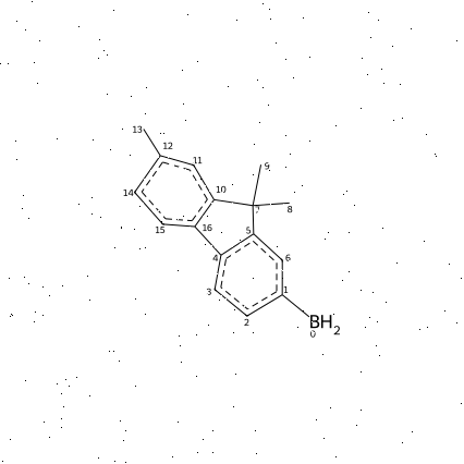 Bc1ccc2c(c1)C(C)(C)c1cc(C)ccc1-2